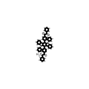 C=C(C(=O)c1ccc(-c2c3c4ccccc4n(-c4ccccc4)c3c(-c3ccc(C(=O)C(=O)c4ccccc4)cc3)c3c4ccccc4n(-c4ccccc4)c23)cc1)c1ccccc1